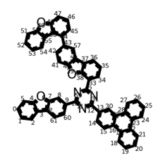 c1ccc2c(c1)oc1cc(-c3nc(-c4ccc5c6ccccc6c6ccccc6c5c4)nc(-c4cccc5c4oc4ccc(-c6cccc7oc8ccccc8c67)cc45)n3)ccc12